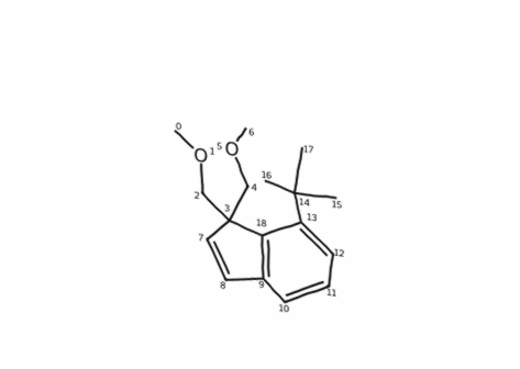 COCC1(COC)C=Cc2cccc(C(C)(C)C)c21